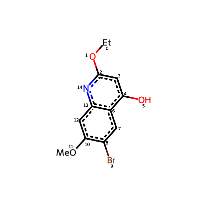 CCOc1cc(O)c2cc(Br)c(OC)cc2n1